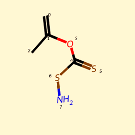 C=C(C)OC(=S)SN